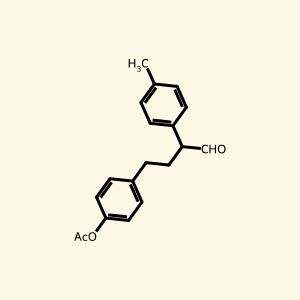 CC(=O)Oc1ccc(CCC(C=O)c2ccc(C)cc2)cc1